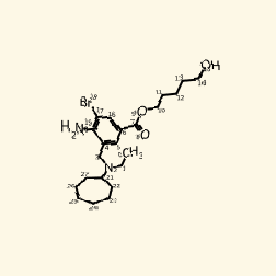 CCN(Cc1cc(C(=O)OCCCCCO)cc(Br)c1N)C1CCCCCC1